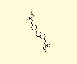 CCOC(=O)CCC1CCC(C2CCC3CC(CCC(=O)OCC)CCC3C2)CC1